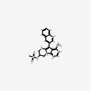 CS(=O)(=O)OC1COc2c(-c3cnc4ccccc4c3)c3c(N)ncnc3n2C1